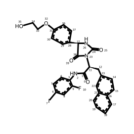 O=C(Nc1ccc(I)cc1F)[C@H](Cc1ccc2ccccc2c1)N1C(=O)N[C@H](c2ccc(OCCO)cc2)C1=O